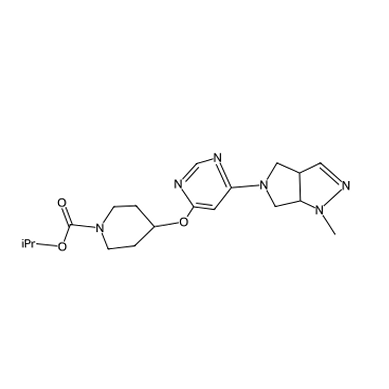 CC(C)OC(=O)N1CCC(Oc2cc(N3CC4C=NN(C)C4C3)ncn2)CC1